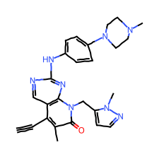 C#Cc1c(C)c(=O)n(Cc2ccnn2C)c2nc(Nc3ccc(N4CCN(C)CC4)cc3)ncc12